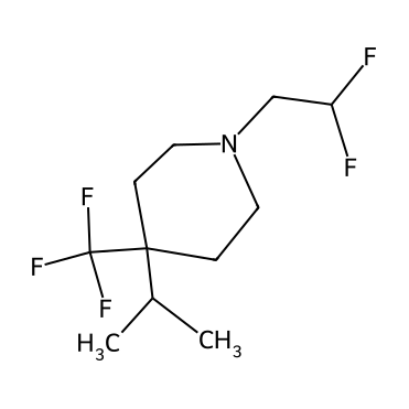 CC(C)C1(C(F)(F)F)CCN(CC(F)F)CC1